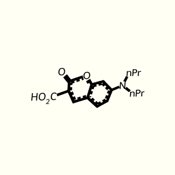 CCCN(CCC)c1ccc2cc(C(=O)O)c(=O)oc2c1